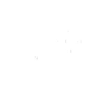 C=Cc1ccccc1.C[N+](C)(C)CCOP(=O)(O)O